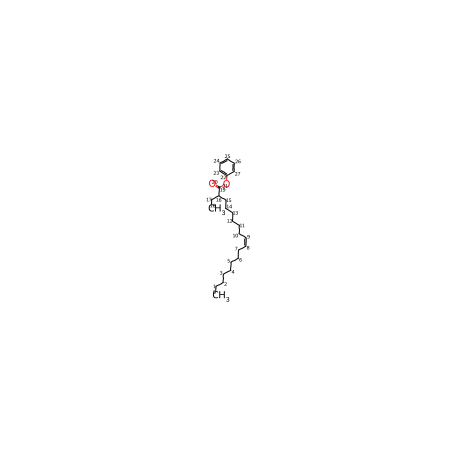 CCCCCCCC/C=C\CCCCCCC(CC)C(=O)Oc1ccccc1